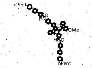 CCCCC[C@H]1CC[C@H](c2ccc(-c3ccc(C(=O)Nc4ccc(C5=CC(c6ccccc6)(c6ccc(OC)cc6)Oc6c5c5c(c7cc(-c8ccc(NC(=O)c9ccc(-c%10ccc([C@H]%11CC[C@H](CCCCC)CC%11)cc%10)cc9)cc8)ccc67)-c6ccccc6C5(C)C)cc4)cc3)cc2)CC1